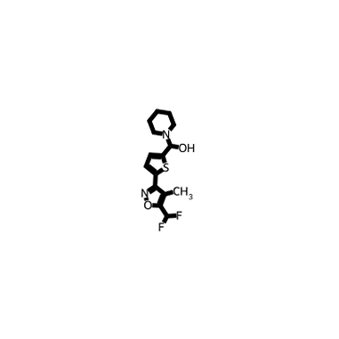 Cc1c(-c2ccc(C(O)N3CCCCC3)s2)noc1C(F)F